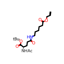 C=CCOC(=O)CCCCCNC(=O)CC[C@H](NC(C)=O)C(=O)OC(C)(C)C